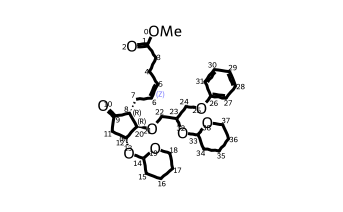 COC(=O)CC/C=C\C[C@H]1C(=O)C[C@@H](OC2CCCCO2)[C@@H]1OCC(COc1ccccc1)OC1CCCCO1